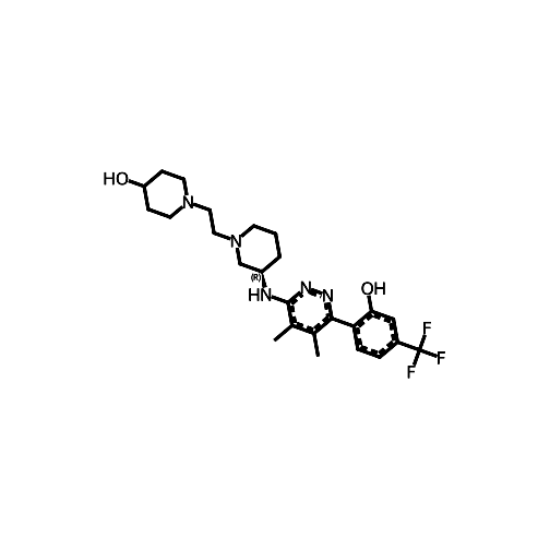 Cc1c(N[C@@H]2CCCN(CCN3CCC(O)CC3)C2)nnc(-c2ccc(C(F)(F)F)cc2O)c1C